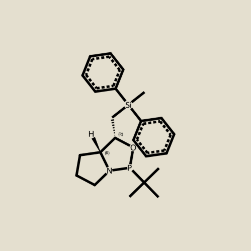 CC(C)(C)P1O[C@@H](C[Si](C)(c2ccccc2)c2ccccc2)[C@H]2CCCN21